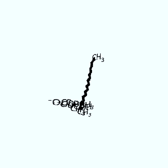 CC(O)C(=O)[O-].CC(O)C(=O)[O-].CCCCCCCCCCCCCCCCCC.[Ca+2]